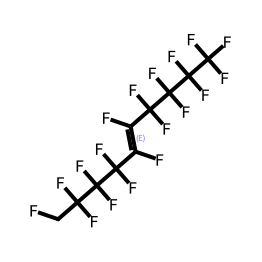 FCC(F)(F)C(F)(F)C(F)(F)/C(F)=C(\F)C(F)(F)C(F)(F)C(F)(F)C(F)(F)F